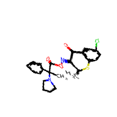 CC1Sc2ccc(Cl)cc2C(=O)/C1=N/OC(=O)C(C)(c1ccccc1)N1CCCC1